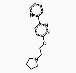 c1ccc(-c2ccc(OCCN3CCCC3)nn2)nc1